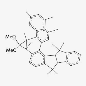 COC1(OC)C2(C)c3ccc4c(c3-c3cc(C)c5c(C)cc(C)cc5c3C12C)C1C(c2ccccc2C1(C)C)C4(C)C